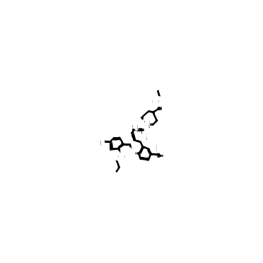 CCCOc1cc(Br)ccc1COc1ccc(C(F)(F)F)cc1-c1ccnc(N2CCC(C(=O)OCC)CC2)n1